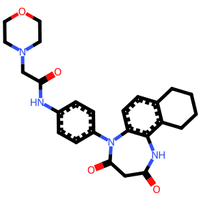 O=C(CN1CCOCC1)Nc1ccc(N2C(=O)CC(=O)Nc3c2ccc2c3CCCC2)cc1